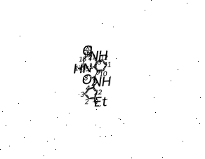 CCc1cccc(NC(=O)c2cccc3c2NC(C)CC(=O)N3)c1